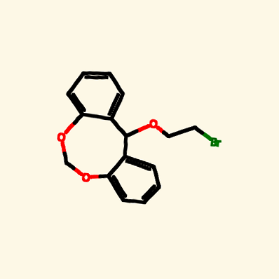 BrCCOC1c2ccccc2OCOc2ccccc21